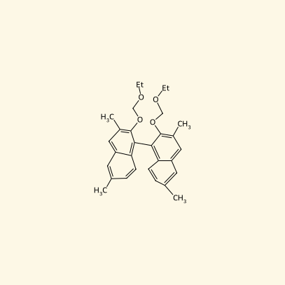 CCOCOc1c(C)cc2cc(C)ccc2c1-c1c(OCOCC)c(C)cc2cc(C)ccc12